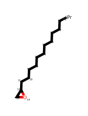 CC(C)CCCCCCCCCCCC1CO1